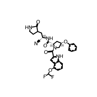 N#C[C@H](CC1CCNC1=O)NC(=O)[C@@H]1C[C@H](Oc2ccccc2)CN1C(=O)c1cc2c(OC(F)F)cccc2[nH]1